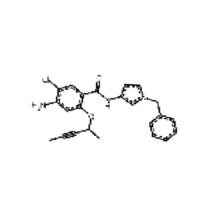 CC#CC(C)Oc1cc(N)c(Cl)cc1C(=O)Nc1ccn(Cc2ccccc2)c1